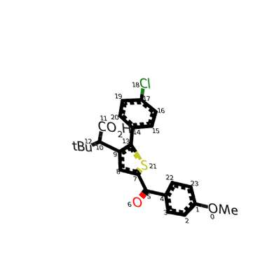 COc1ccc(C(=O)c2cc(C(C(=O)O)C(C)(C)C)c(-c3ccc(Cl)cc3)s2)cc1